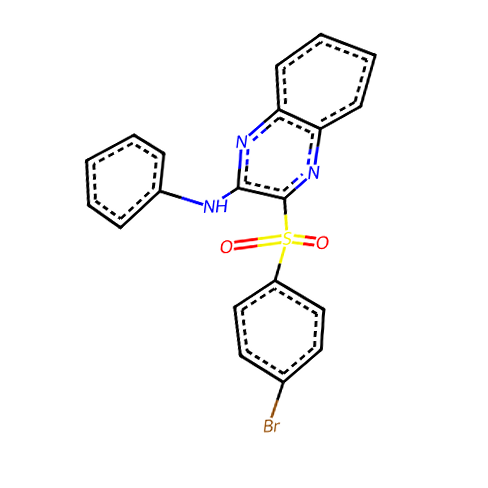 O=S(=O)(c1ccc(Br)cc1)c1nc2ccccc2nc1Nc1ccccc1